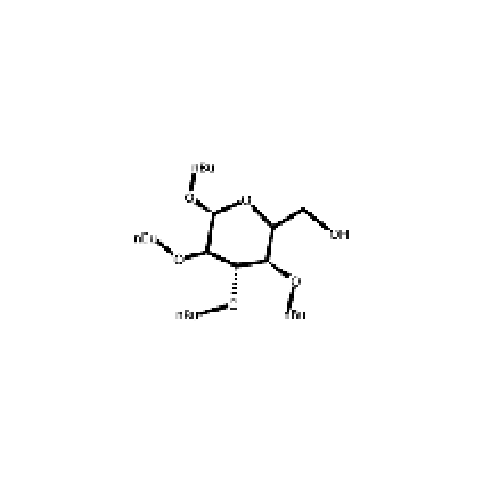 CCCCOC1[C@@H](OCCCC)OC(CO)[C@@H](OCCCC)[C@@H]1OCCCC